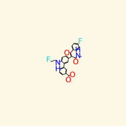 CNC(=O)c1c(-c2ccc(F)cc2)oc2cc(NCCF)c(-c3cccc(C(=O)OC)c3)cc12